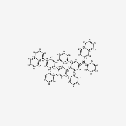 c1ccc(-c2cc(-c3ccccc3)c3c4ccc(N(c5ccccc5)c5ccc6ccccc6c5)cc4c4ccccc4c3c2-c2ccc(-c3cccc4ccccc34)cc2)cc1